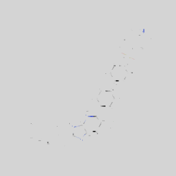 CC[C@H]1OC[C@H](Oc2nc3nc(-c4ccc(-c5ccc(S(=O)(=O)C6CCNCC6)cc5)cc4)c(Cl)cc3[nH]2)C[C@@H]1O